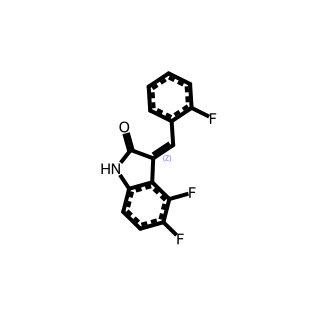 O=C1Nc2ccc(F)c(F)c2/C1=C/c1ccccc1F